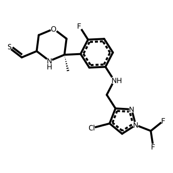 C[C@@]1(c2cc(NCc3nn(C(F)F)cc3Cl)ccc2F)COCC(C=S)N1